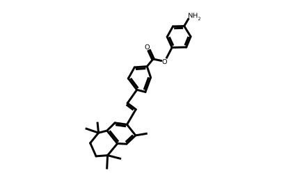 Cc1cc2c(cc1C=Cc1ccc(C(=O)Oc3ccc(N)cc3)cc1)C(C)(C)CCC2(C)C